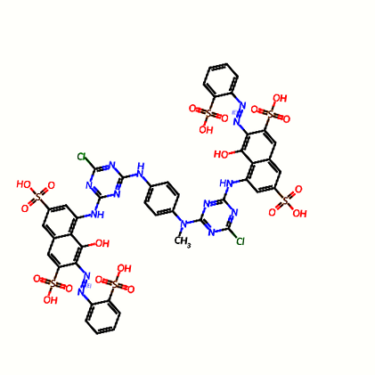 CN(c1ccc(Nc2nc(Cl)nc(Nc3cc(S(=O)(=O)O)cc4cc(S(=O)(=O)O)c(/N=N/c5ccccc5S(=O)(=O)O)c(O)c34)n2)cc1)c1nc(Cl)nc(Nc2cc(S(=O)(=O)O)cc3cc(S(=O)(=O)O)c(/N=N/c4ccccc4S(=O)(=O)O)c(O)c23)n1